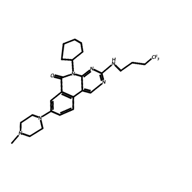 CN1CCN(c2ccc3c(c2)c(=O)n(C2CCCCC2)c2nc(NCCCC(F)(F)F)ncc32)CC1